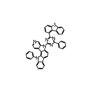 c1ccc(-c2nc(-c3cccc4sc5ccccc5c34)nc(-n3c4cnccc4c4c3ccc3c5ccccc5n(-c5ccccc5)c34)n2)cc1